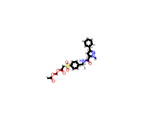 CC(=O)OCOC(=O)CS(=O)(=O)c1ccc([C@@H](C)NC(=O)c2cc(-c3ccccc3)nn2C)cc1